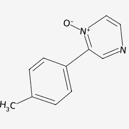 Cc1ccc(-c2cncc[n+]2[O-])cc1